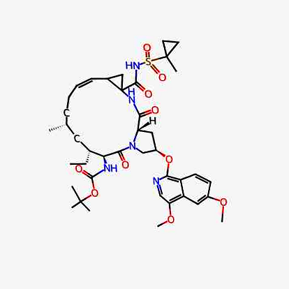 CC[C@@H]1C[C@H](C)CC/C=C\C2CC2(C(=O)NS(=O)(=O)C2(C)CC2)NC(=O)[C@@H]2C[C@@H](Oc3ncc(OC)c4cc(OC)ccc34)CN2C(=O)[C@H]1NC(=O)OC(C)(C)C